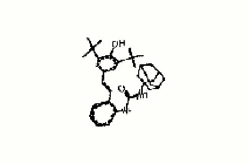 CC(C)(C)c1cc(C=Cc2ccccc2NC(=O)NC23CC4CC(CC(C4)C2)C3)cc(C(C)(C)C)c1O